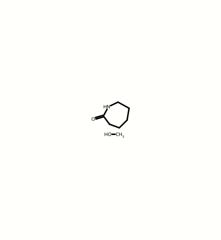 CO.O=C1CCCCCN1